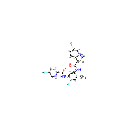 Cc1cc(F)c(NC(=O)c2ccc(F)cn2)cc1NC(=O)c1cnn2cc(F)ccc12